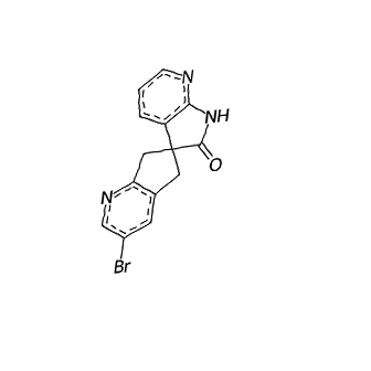 O=C1Nc2ncccc2C12Cc1cc(Br)cnc1C2